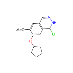 COc1cc2c(cc1OC1CCCC1)C(Cl)NN=C2